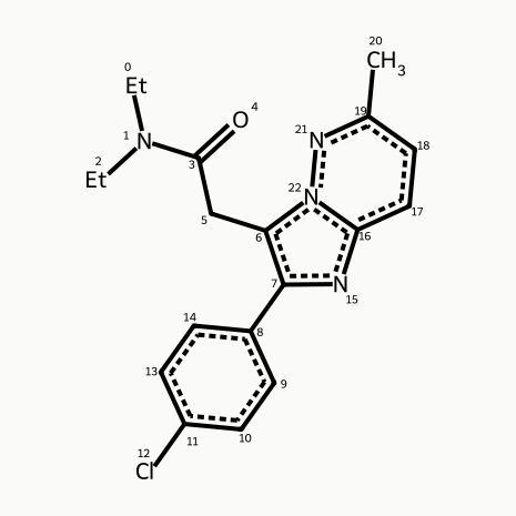 CCN(CC)C(=O)Cc1c(-c2ccc(Cl)cc2)nc2ccc(C)nn12